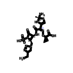 C[C@@]1(N)NC(/C(=N/OC2(C(=O)O)CC2)C(=O)N[C@@H]2C(=O)N(S(=O)(=O)O)[C@@H]2CN2CC(CN)N=N2)=CS1